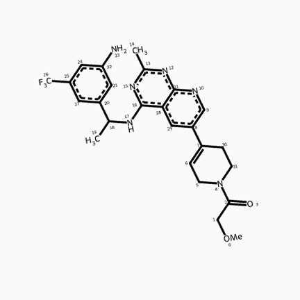 COCC(=O)N1CC=C(c2cnc3nc(C)nc(NC(C)c4cc(N)cc(C(F)(F)F)c4)c3c2)CC1